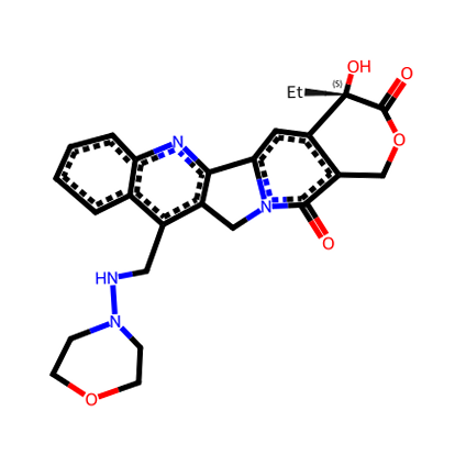 CC[C@@]1(O)C(=O)OCc2c1cc1n(c2=O)Cc2c-1nc1ccccc1c2CNN1CCOCC1